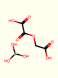 O=C(O)COC(=O)C(=O)O.OB(O)O